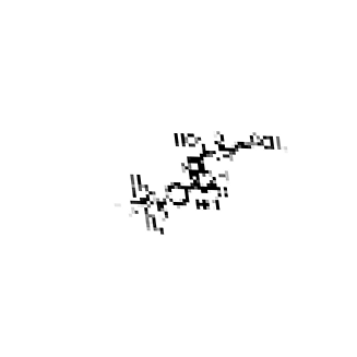 COCCCC(=O)N/C(=N/O)c1cnn2c(C3CCN(C(=O)OC(C)(C)C)CC3)cc(=O)[nH]c12.Cl